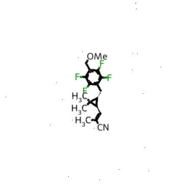 COCc1c(F)c(F)c(C[C@@H]2[C@@H](/C=C(\C)C#N)C2(C)C)c(F)c1F